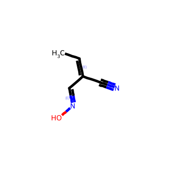 C/C=C(C#N)\C=N\O